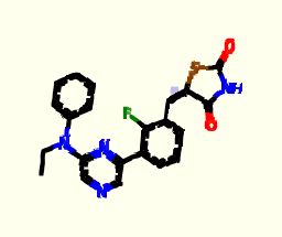 CCN(c1ccccc1)c1cncc(-c2cccc(/C=C3/SC(=O)NC3=O)c2F)n1